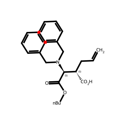 C=CC[C@H](C(=O)O)[C@@H](C(=O)OCCCC)N(Cc1ccccc1)Cc1ccccc1